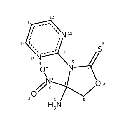 NC1([N+](=O)[O-])COC(=S)N1c1ncccn1